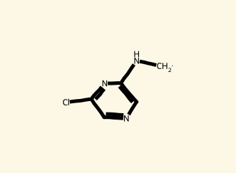 [CH2]Nc1cncc(Cl)n1